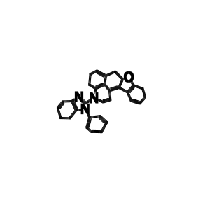 C1=CC2=C(CC1)OC1CC3=CCCC4=C3C(=C21)C=CN4c1nc2c(n1-c1ccccc1)CCC=C2